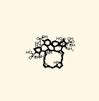 Nc1c(C2=Cc3cc4ccc(cc5nc(cc6[nH]c(c(-c7cccc(P(=O)(O)O)c7N)c2n3)c(-c2cccc(P(=O)(O)O)c2N)c6-c2cccc(P(=O)(O)O)c2N)C=C5)[nH]4)cccc1P(=O)(O)O